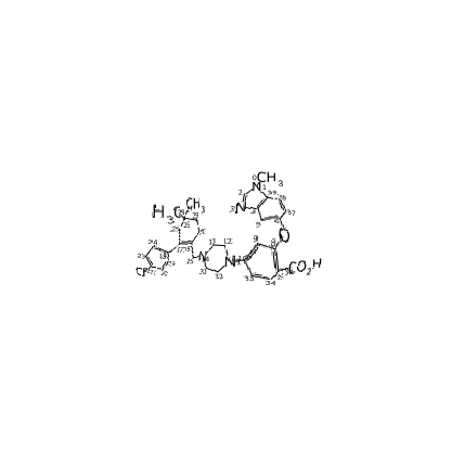 Cn1cnc2cc(Oc3cc(N4CCN(CC5=C(c6ccc(Cl)cc6)CC(C)(C)CC5)CC4)ccc3C(=O)O)ccc21